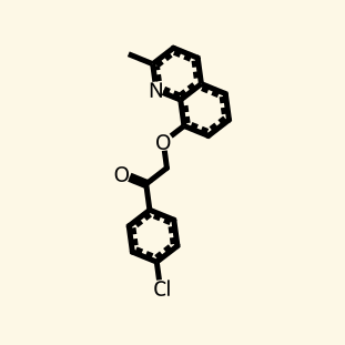 Cc1ccc2cccc(OCC(=O)c3ccc(Cl)cc3)c2n1